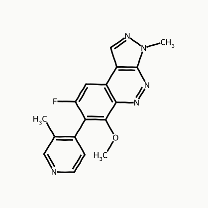 COc1c(-c2ccncc2C)c(F)cc2c1nnc1c2cnn1C